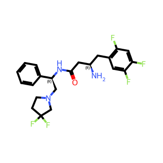 N[C@@H](CC(=O)N[C@@H](CN1CCC(F)(F)C1)c1ccccc1)Cc1cc(F)c(F)cc1F